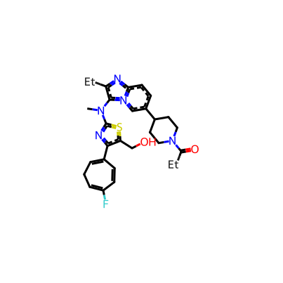 CCC(=O)N1CCC(c2ccc3nc(CC)c(N(C)c4nc(C5=CCC=C(F)C=C5)c(CO)s4)n3c2)CC1